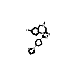 CN1Cc2cc(Cl)ccc2-n2c(nnc2[C@H]2CC[C@@H](n3cccn3)CC2)C1